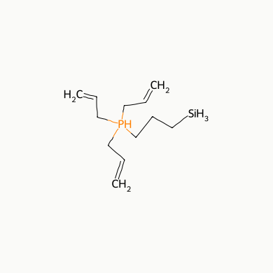 C=CC[PH](CC=C)(CC=C)CCC[SiH3]